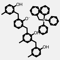 Cc1ccc(O)c(Cc2cccc(Cc3cc(C)cc(Cc4cc(C)ccc4O)c3O)c2[O-])c1.c1ccc(C[P+](c2ccccc2)(c2ccccc2)c2ccccc2)cc1